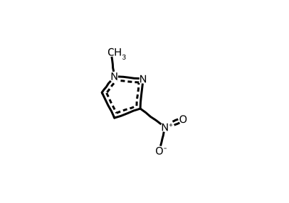 Cn1ccc([N+](=O)[O-])n1